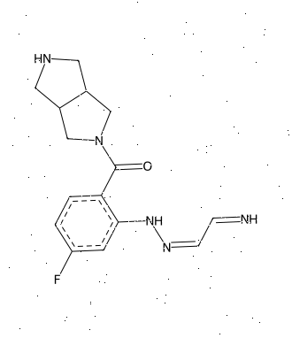 N=C/C=N\Nc1cc(F)ccc1C(=O)N1CC2CNCC2C1